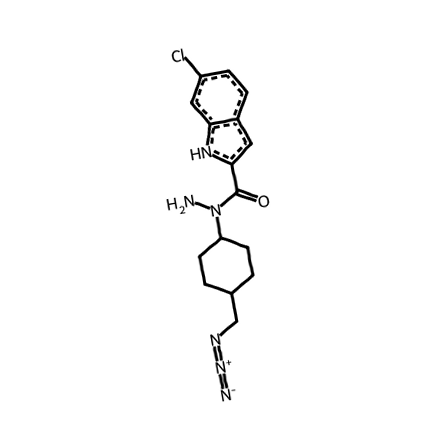 [N-]=[N+]=NCC1CCC(N(N)C(=O)c2cc3ccc(Cl)cc3[nH]2)CC1